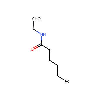 CC(=O)CCCCC(=O)NCC=O